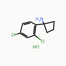 Cl.NC1(c2ccc(Cl)cc2Cl)CCC1